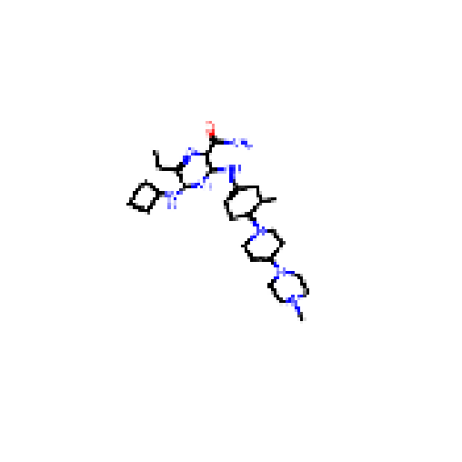 CCC1=NC(C(N)=O)C(NC2=CCC(N3CCC(N4CCN(C)CC4)CC3)C(C)C2)NC1NC1CCCC1